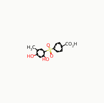 Cc1cc(S(=O)(=O)c2ccc(C(=O)O)cc2)c(O)cc1O